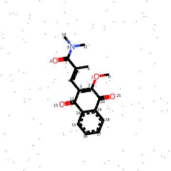 COC1=C(/C=C(\C)C(=O)N(C)C)C(=O)c2ccccc2C1=O